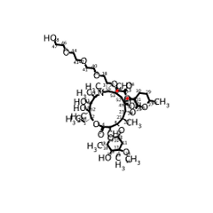 CC[C@H]1OC(=O)[C@H](C)[C@@H](O[C@H]2C[C@@](C)(OC)[C@@H](O)[C@H](C)O2)[C@H](C)[C@@H](OC2OC(C)CCC2OC(=O)COCCOCCOCCOCCO)[C@](C)(O)C[C@@H](C)CN(C)[C@H](C)[C@@H](O)[C@]1(C)O